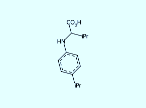 CC(C)c1ccc(NC(C(=O)O)C(C)C)cc1